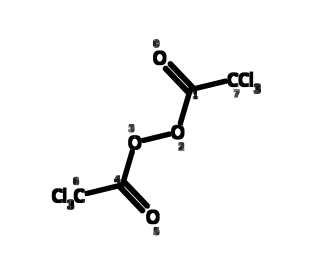 O=C(OOC(=O)C(Cl)(Cl)Cl)C(Cl)(Cl)Cl